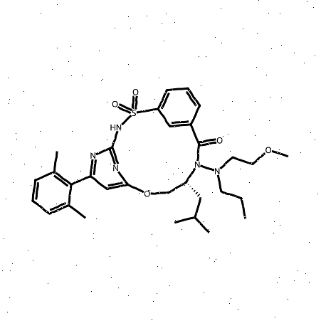 CCCN(CCOC)N1C(=O)c2cccc(c2)S(=O)(=O)Nc2nc(cc(-c3c(C)cccc3C)n2)OC[C@H]1CC(C)C